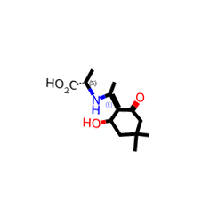 C/C(N[C@@H](C)C(=O)O)=C1\C(=O)CC(C)(C)CC1O